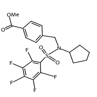 COC(=O)c1ccc(CN(C2CCCC2)S(=O)(=O)c2c(F)c(F)c(F)c(F)c2F)cc1